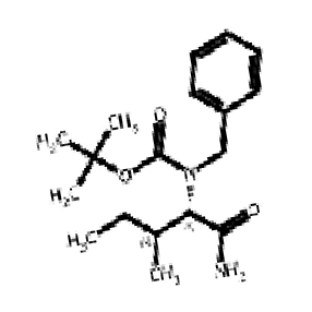 CC[C@H](C)[C@@H](C(N)=O)N(Cc1ccccc1)C(=O)OC(C)(C)C